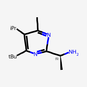 Cc1nc([C@H](C)N)nc(C(C)(C)C)c1C(C)C